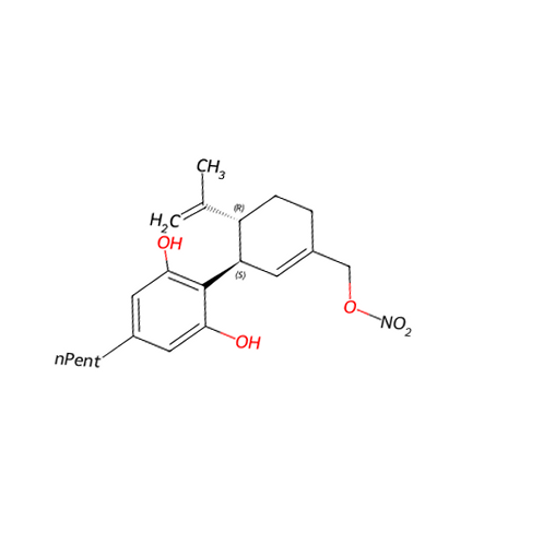 C=C(C)[C@@H]1CCC(CO[N+](=O)[O-])=C[C@H]1c1c(O)cc(CCCCC)cc1O